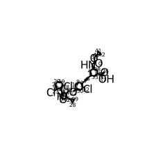 O=C(Nc1cc(C#Cc2ccc(OCc3c(-c4c(Cl)cccc4Cl)noc3C3CC3)cc2Cl)cc(C(=O)O)c1)OC1CC1